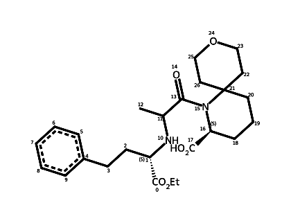 CCOC(=O)[C@H](CCc1ccccc1)NC(C)C(=O)N1[C@H](C(=O)O)CCCC12CCOCC2